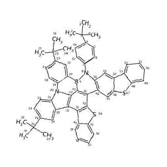 CC(C)(C)c1ccc(N2B3c4cc(C(C)(C)C)ccc4-n4c5ccc(C(C)(C)C)cc5c5c6c(sc7ccccc76)c(c3c54)-c3cc4sc5ccccc5c4cc32)cc1